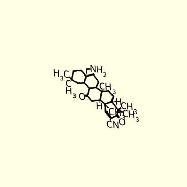 CC1(C)CC[C@]2(CN)CCC3C(C(=O)C[C@@H]4[C@@]5(C)C=C(C#N)C(=O)C(C)(C)[C@@H]5CC[C@@]34C)C2C1